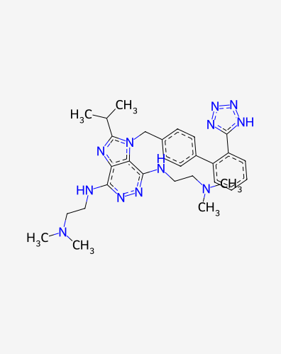 CC(C)c1nc2c(NCCN(C)C)nnc(NCCN(C)C)c2n1Cc1ccc(-c2ccccc2-c2nnn[nH]2)cc1